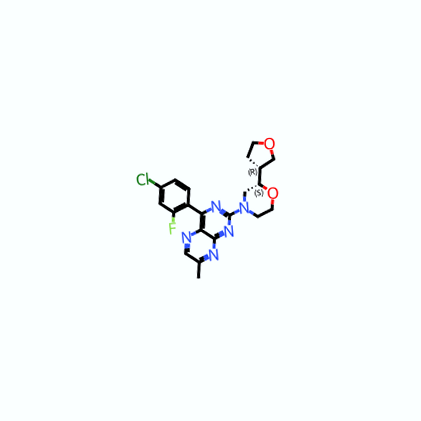 Cc1cnc2c(-c3ccc(Cl)cc3F)nc(N3CCO[C@@H]([C@@H]4CCOC4)C3)nc2n1